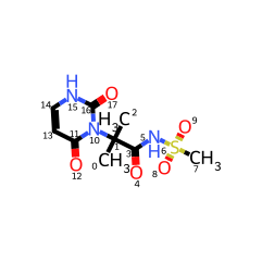 CC(C)(C(=O)NS(C)(=O)=O)n1c(=O)cc[nH]c1=O